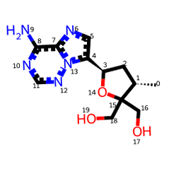 C[C@H]1C[C@H](c2cnc3c(N)ncnn23)OC1(CO)CO